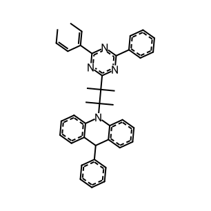 C/C=C\C(=C/C)c1nc(-c2ccccc2)nc(C(C)(C)C(C)(C)N2c3ccccc3C(c3ccccc3)c3ccccc32)n1